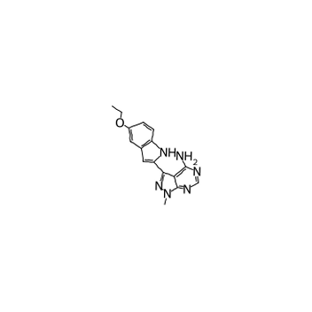 CCOc1ccc2[nH]c(-c3nn(C)c4ncnc(N)c34)cc2c1